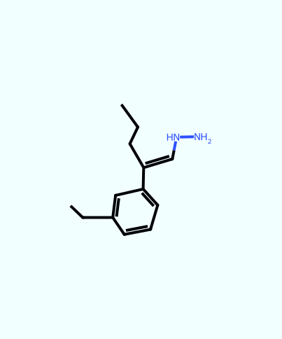 CCC/C(=C\NN)c1cccc(CC)c1